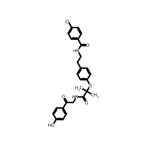 CC(C)(Oc1ccc(CCNC(=O)c2ccc(Cl)cc2)cc1)C(=O)NCC(=O)c1ccc(O)cc1